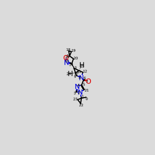 CC1(n2cnc(C(=O)N3C[C@@H]4[C@H](C3)[C@@H]4C3=NOC4(CC4)C3)c2)CC1